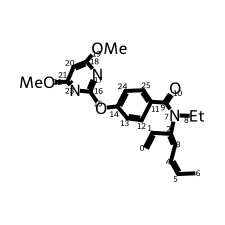 C=C/C(=C\C=C/C)N(CC)C(=O)c1ccc(Oc2nc(OC)cc(OC)n2)cc1